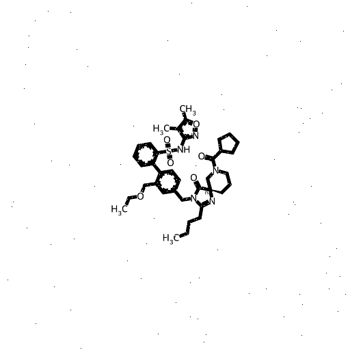 CCCCC1=N[C@]2(CCCN(C(=O)C3CCCC3)C2)C(=O)N1Cc1ccc(-c2ccccc2S(=O)(=O)Nc2noc(C)c2C)c(COCC)c1